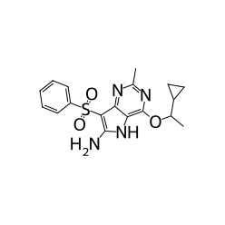 Cc1nc(OC(C)C2CC2)c2[nH]c(N)c(S(=O)(=O)c3ccccc3)c2n1